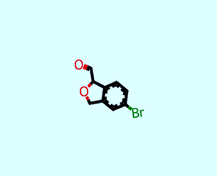 O=CC1OCc2cc(Br)ccc21